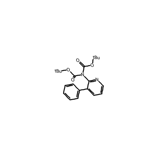 CC(C)(C)OC(=O)N(C(=O)OC(C)(C)C)c1ncccc1-c1ccccc1